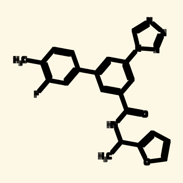 Cc1ccc(-c2cc(C(=O)NC(C)c3ccco3)cc(-n3cnnn3)c2)cc1F